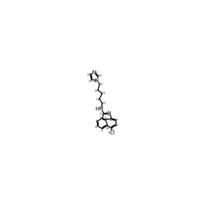 Clc1ccc2c3c(cccc13)C(NCCCCCn1ccnc1)=N2